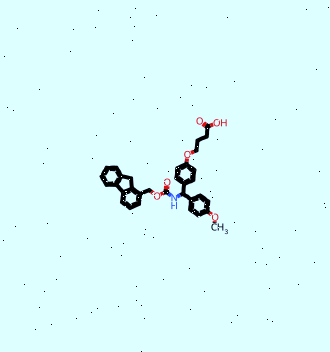 COc1ccc(C(NC(=O)OCc2cccc3c2Cc2ccccc2-3)c2ccc(OCCCC(=O)O)cc2)cc1